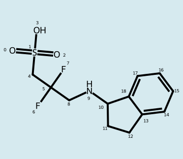 O=S(=O)(O)CC(F)(F)CNC1CCc2ccccc21